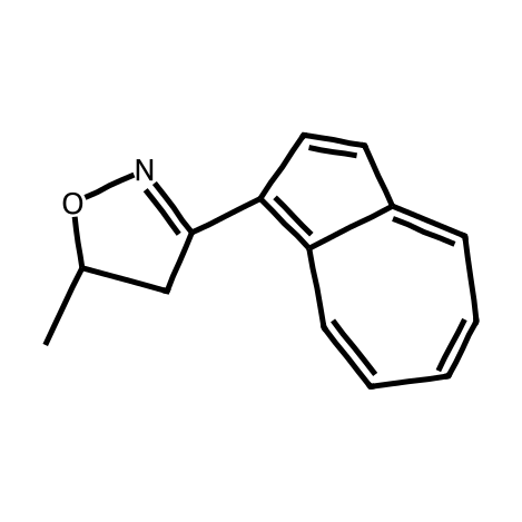 CC1CC(c2ccc3cccccc2-3)=NO1